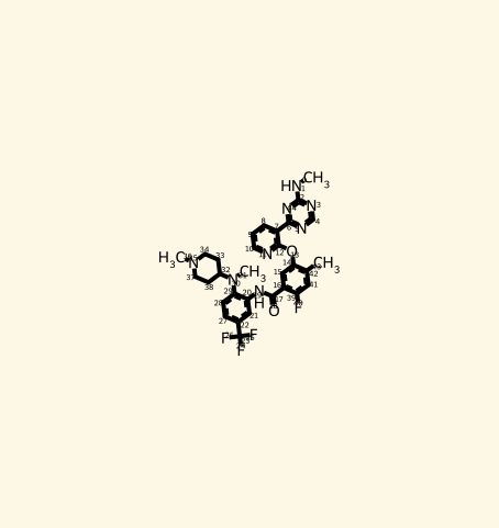 CNc1ncnc(-c2cccnc2Oc2cc(C(=O)Nc3cc(C(F)(F)F)ccc3N(C)C3CCN(C)CC3)c(F)cc2C)n1